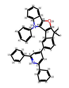 CC1(C)c2ccc(-c3cc(-c4ccccc4)nc(-c4ccccc4)c3)cc2-c2c1oc1c3ccccc3n(-c3ccccc3)c21